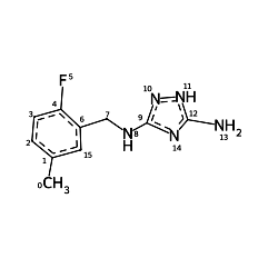 Cc1ccc(F)c(CNc2n[nH]c(N)n2)c1